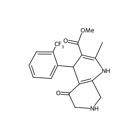 COC(=O)C1=C(C)NC2=C(C(=O)CNC2)C1c1ccccc1C(F)(F)F